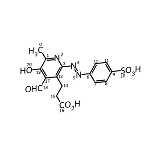 Cc1nc(N=Nc2ccc(S(=O)(=O)O)cc2)c(CCC(=O)O)c(C=O)c1O